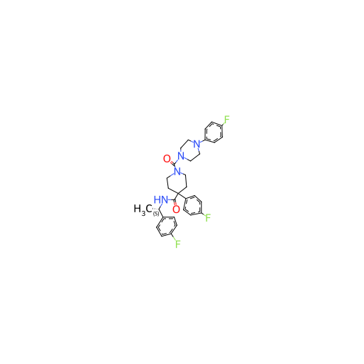 C[C@H](NC(=O)C1(c2ccc(F)cc2)CCN(C(=O)N2CCN(c3ccc(F)cc3)CC2)CC1)c1ccc(F)cc1